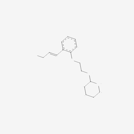 OC/C=C/c1ccccc1OCCOC1CCCCO1